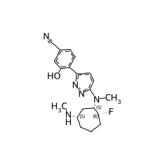 CN[C@H]1CCC[C@@H](F)[C@@H](N(C)c2ccc(-c3ccc(C#N)cc3O)nn2)C1